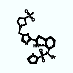 CC(C)N(c1cccc2cc(-c3ncc(CN4CCC(S(C)(=O)=O)C4)s3)[nH]c12)S(=O)(=O)c1cccs1